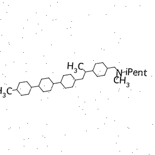 CCCC(C)N(C)CC1CCC(C(C)CC2CCC(C3CCC(C4CCC(C)CC4)CC3)CC2)CC1